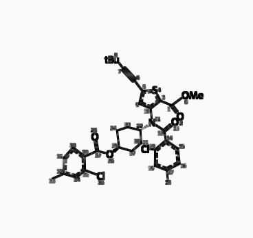 COC(=O)c1sc(C#CC(C)(C)C)cc1N(C(=O)c1ccc(C)cc1Cl)[C@H]1CC[C@H](OC(=O)c2ccc(C)cc2Cl)CC1